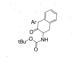 CC(C)(C)OC(=O)NC1Cc2ccccc2CC1=O.[Ar]